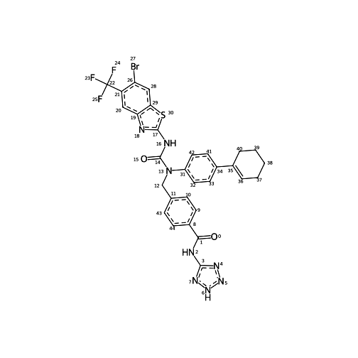 O=C(Nc1nn[nH]n1)c1ccc(CN(C(=O)Nc2nc3cc(C(F)(F)F)c(Br)cc3s2)c2ccc(C3=CCCCC3)cc2)cc1